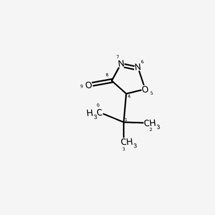 CC(C)(C)C1ON=NC1=O